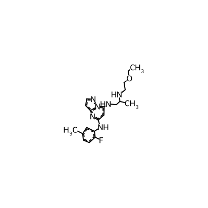 CCOCCNC(C)CNc1cc(Nc2cc(C)ccc2F)nc2ccnn12